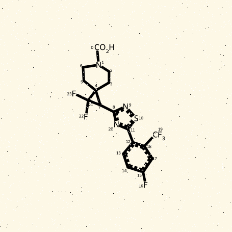 O=C(O)N1CCC2(CC1)C(c1nsc(-c3ccc(F)cc3C(F)(F)F)n1)C2(F)F